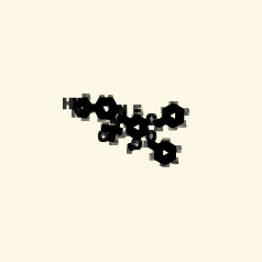 COc1cc(-c2nc3ccc(-c4cn[nH]c4)cc3n2C2(C)COC2)c(F)c(OCc2ccccc2)c1OCc1ccccc1